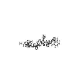 COc1ccccc1CCC(=O)Nc1sc2c(c1C#N)CCN(C(=O)OCC1COC(C)(C)O1)C2